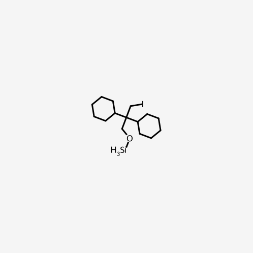 [SiH3]OCC(CI)(C1CCCCC1)C1CCCCC1